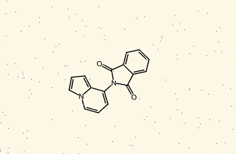 O=C1c2ccccc2C(=O)N1c1cccn2cccc12